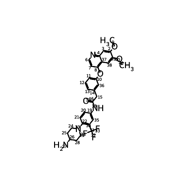 COc1cc2nccc(Oc3cccc(CC(=O)Nc4ccc(N5CCC(N)CC5)c(C(F)(F)F)c4)c3)c2cc1OC